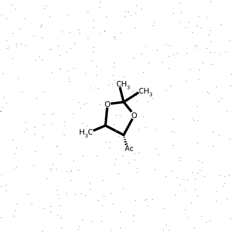 CC(=O)[C@H]1OC(C)(C)OC1C